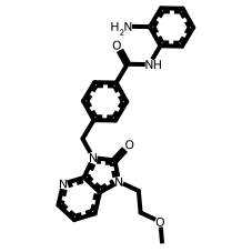 COCCn1c(=O)n(Cc2ccc(C(=O)Nc3ccccc3N)cc2)c2ncccc21